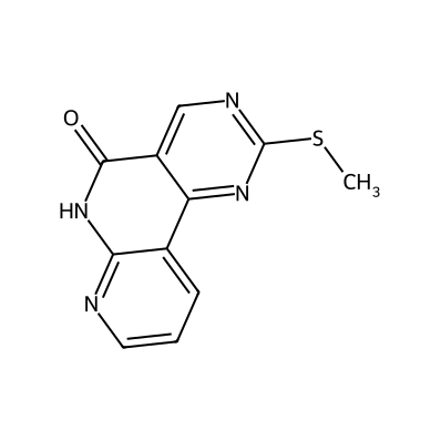 CSc1ncc2c(=O)[nH]c3ncccc3c2n1